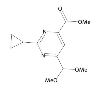 COC(=O)c1cc(C(OC)OC)nc(C2CC2)n1